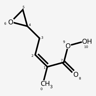 CC(=CCC1CO1)C(=O)OO